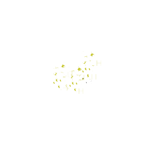 S=S(=S)(S)SS(=S)(=S)S.S=S(=S)(S)SS(=S)(=S)S.S=S(=S)(S)SS(=S)(=S)S.[Na]